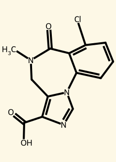 CN1Cc2c(C(=O)O)ncn2-c2cccc(Cl)c2C1=O